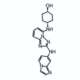 O[C@H]1CC[C@@H](Nc2cccc3nc(Nc4ccn5ccnc5c4)nn23)CC1